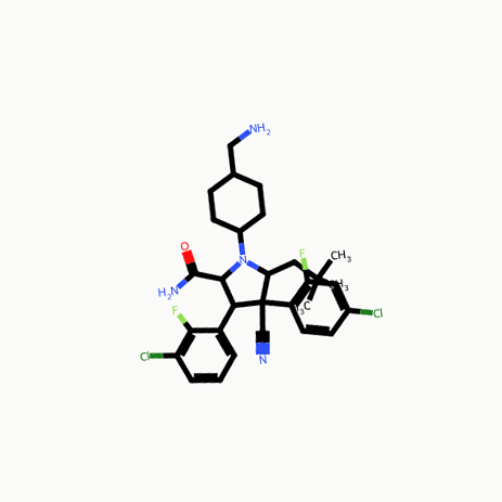 CC(C)(C)CC1N(C2CCC(CN)CC2)C(C(N)=O)C(c2cccc(Cl)c2F)C1(C#N)c1ccc(Cl)cc1F